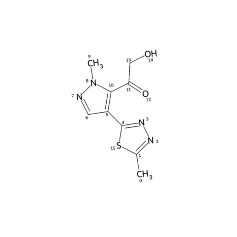 Cc1nnc(-c2cnn(C)c2C(=O)CO)s1